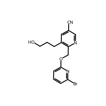 N#Cc1cnc(COc2cccc(Br)n2)c(CCCO)c1